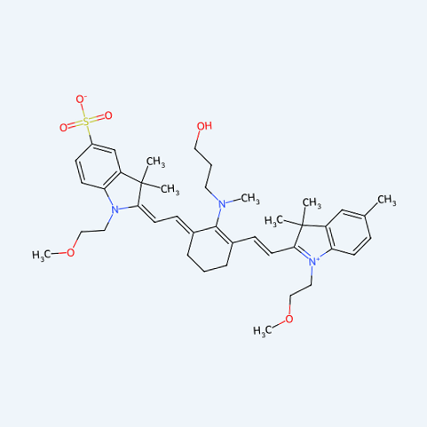 COCCN1/C(=C/C=C2\CCCC(/C=C/C3=[N+](CCOC)c4ccc(C)cc4C3(C)C)=C2N(C)CCCO)C(C)(C)c2cc(S(=O)(=O)[O-])ccc21